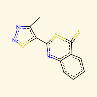 Cc1nnsc1-c1nc2ccccc2c(=S)s1